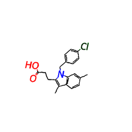 Cc1ccc2c(C)c(CCC(=O)O)n(Cc3ccc(Cl)cc3)c2c1